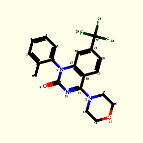 Cc1ccccc1-n1c(=O)nc(N2CCOCC2)c2ccc(C(F)(F)F)cc21